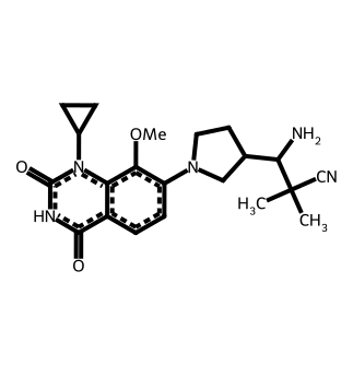 COc1c(N2CCC(C(N)C(C)(C)C#N)C2)ccc2c(=O)[nH]c(=O)n(C3CC3)c12